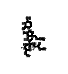 CC(C)OC(=O)[C@H](C)NP(=O)(N[C@@H](C)C(=O)OC(C)C)OC[C@@]1(CN=[N+]=[N-])O[C@@H](N2C=CC(O)NC2=O)[C@H](F)[C@@H]1O